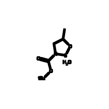 CC1CN(C(=O)OC(C)(C)C)SO1.O